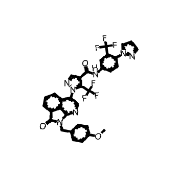 COc1ccc(CN2C(=O)c3cccc4c(-n5ncc(C(=O)Nc6ccc(-n7cccn7)c(C(F)(F)F)c6)c5C(F)(F)F)cnc2c34)cc1